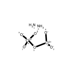 N.N.[O-][Cl+2]([O-])O[Cl+3]([O-])([O-])[O-]